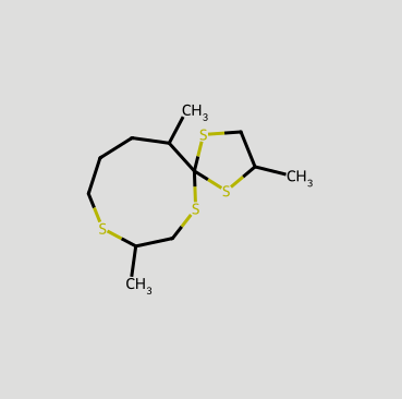 CC1CSC2(SCC(C)S2)C(C)CCCS1